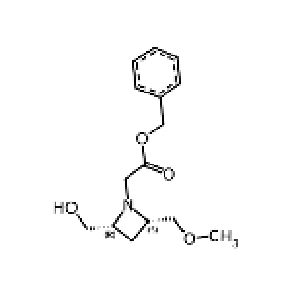 COC[C@@H]1C[C@H](CO)N1CC(=O)OCc1ccccc1